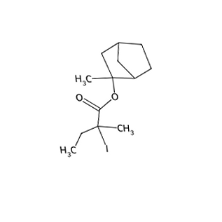 CCC(C)(I)C(=O)OC1(C)CC2CCC1C2